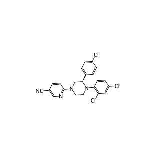 N#Cc1ccc(N2CCN(c3ccc(Cl)cc3Cl)[C@H](c3ccc(Cl)cc3)C2)nc1